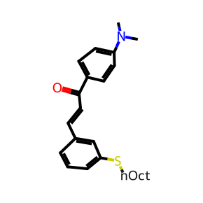 CCCCCCCCSc1cccc(/C=C/C(=O)c2ccc(N(C)C)cc2)c1